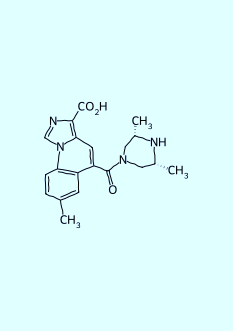 Cc1ccc2c(c1)c(C(=O)N1C[C@@H](C)N[C@@H](C)C1)cc1c(C(=O)O)ncn12